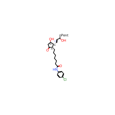 CCCCCC(O)/C=C/[C@H]1[C@H](O)CC(=O)[C@@H]1CCCCCCC(=O)Nc1ccc(Cl)cc1